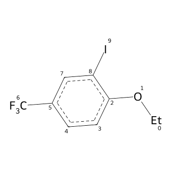 CCOc1ccc(C(F)(F)F)cc1I